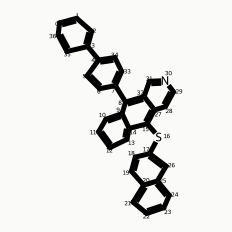 c1ccc(-c2ccc(-c3c4ccccc4c(Sc4ccc5ccccc5c4)c4ccncc34)cc2)cc1